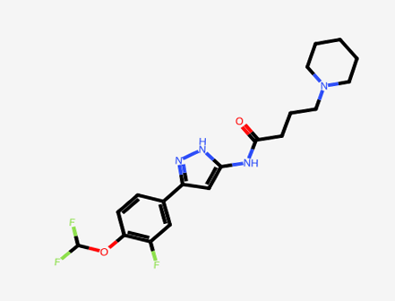 O=C(CCCN1CCCCC1)Nc1cc(-c2ccc(OC(F)F)c(F)c2)n[nH]1